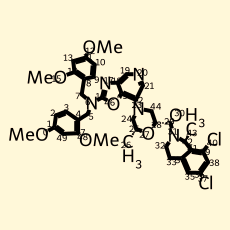 COc1ccc(CN(Cc2ccc(OC)cc2OC)c2nc3cncc(N4C[C@@H](C)O[C@@H](C(=O)N5CCc6cc(Cl)cc(Cl)c6[C@@H]5C)C4)c3o2)c(OC)c1